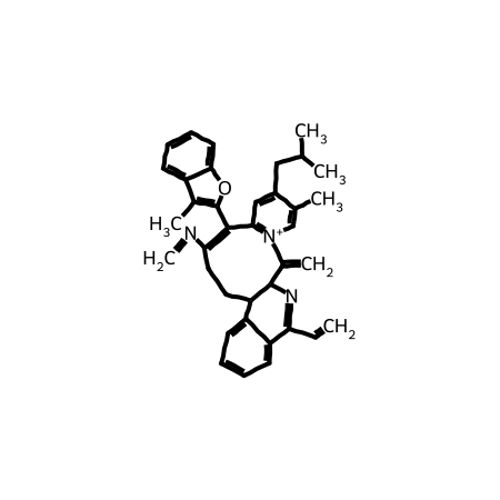 C=CC1=NC2C(=C)[n+]3cc(C)c(CC(C)C)cc3/C(c3oc4ccccc4c3C)=C(/N=C)CCC2c2ccccc21